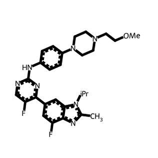 COCCN1CCN(c2ccc(Nc3ncc(F)c(-c4cc(F)c5nc(C)n(C(C)C)c5c4)n3)cc2)CC1